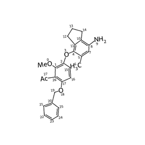 COc1c(Oc2c(C)cc(N)c3c2CCC3)ccc(OCc2ccccc2)c1C(C)=O